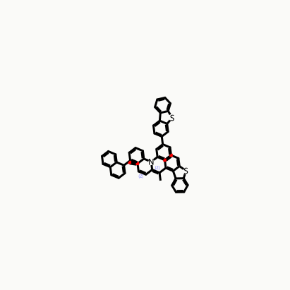 C=C/C=C\C(=C(/C)c1cccc2sc3ccccc3c12)N(c1cccc(-c2ccc3c(c2)sc2ccccc23)c1)c1cccc(-c2cccc3ccccc23)c1